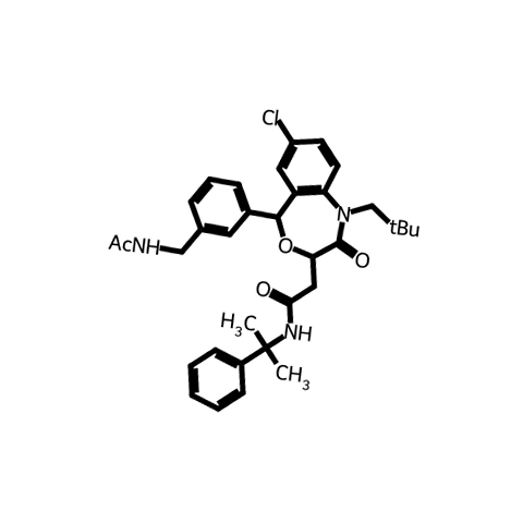 CC(=O)NCc1cccc(C2OC(CC(=O)NC(C)(C)c3ccccc3)C(=O)N(CC(C)(C)C)c3ccc(Cl)cc32)c1